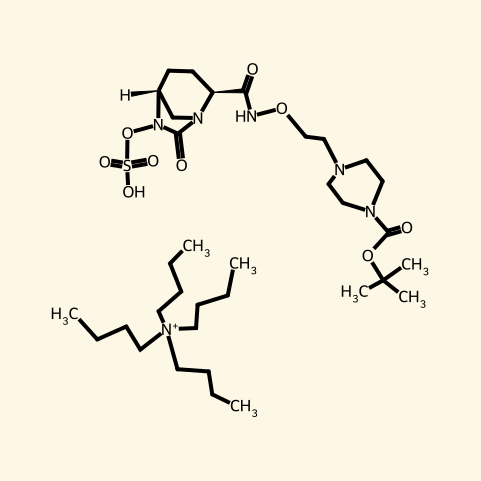 CC(C)(C)OC(=O)N1CCN(CCONC(=O)[C@@H]2CC[C@@H]3CN2C(=O)N3OS(=O)(=O)O)CC1.CCCC[N+](CCCC)(CCCC)CCCC